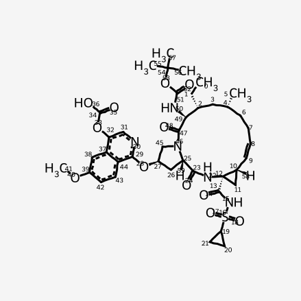 CC[C@@H]1C[C@H](C)CC/C=C\[C@@H]2C[C@@]2(C(=O)NS(=O)(=O)C2CC2)NC(=O)[C@@H]2C[C@@H](Oc3ncc(OC(=O)O)c4cc(OC)ccc34)CN2C(=O)[C@H]1NC(=O)OC(C)(C)C